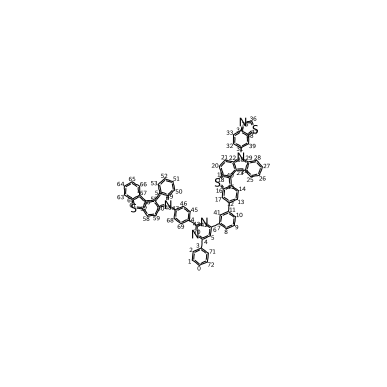 c1ccc(-c2cc(-c3cccc(-c4ccc5c(c4)sc4ccc6c(c7ccccc7n6-c6ccc7ncsc7c6)c45)c3)nc(-c3ccc(-n4c5ccccc5c5c6c(ccc54)sc4ccccc46)cc3)n2)cc1